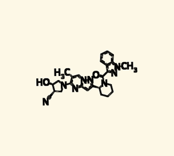 Cc1cn2nc([C@@H]3CCCCN3C(=O)c3nn(C)c4ccccc34)cc2nc1N1C[C@@H](C#N)[C@@H](O)C1